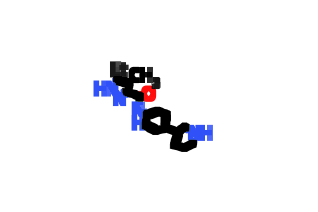 CCc1[nH]nc(C(=O)Nc2ccc(C3=CCCNC3)cc2)c1C